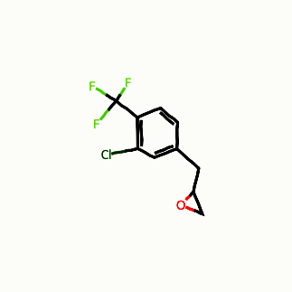 FC(F)(F)c1ccc(CC2CO2)cc1Cl